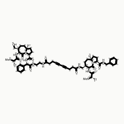 CC[C@H](NC)C(=O)N[C@@H]1C(=O)N2[C@@H](CC[C@@H]1CNC(=O)CCC#CC#CCCC(=O)NCCNC(=O)[C@@H](NC(=O)[C@@H]1CC[C@@H]3CC[C@H](CO)[C@H](NC(=O)[C@H](CC)NC)C(=O)N31)c1ccccc1)CC[C@H]2C(=O)NCc1ccccc1